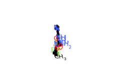 Cc1cc(F)c(COc2nsc(NC(=O)NCCCCn3ccnc3)c2C(N)=O)c(F)c1F